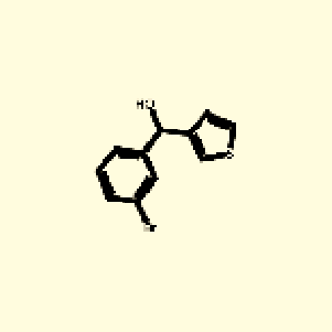 OC(c1ccsc1)c1cccc(Br)c1